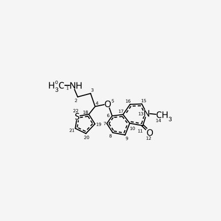 CNCCC(Oc1cccc2c(=O)n(C)ccc12)c1cccs1